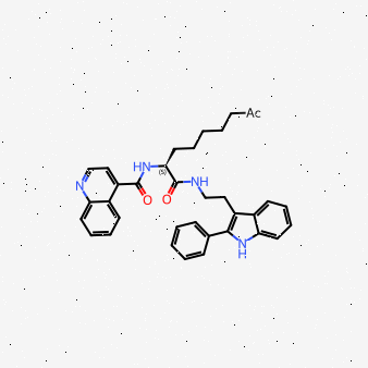 CC(=O)CCCCC[C@H](NC(=O)c1ccnc2ccccc12)C(=O)NCCc1c(-c2ccccc2)[nH]c2ccccc12